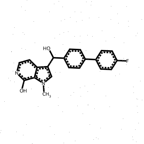 Cn1cc(C(O)c2ccc(-c3ccc(F)cc3)cc2)c2ccnc(O)c21